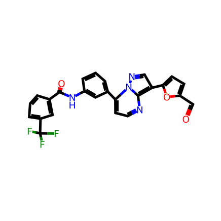 O=Cc1ccc(-c2cnn3c(-c4cccc(NC(=O)c5cccc(C(F)(F)F)c5)c4)ccnc23)o1